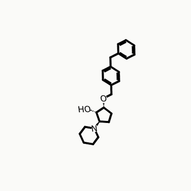 O[C@H]1[C@H](N2CCCCC2)CC[C@H]1OCc1ccc(Cc2ccccc2)cc1